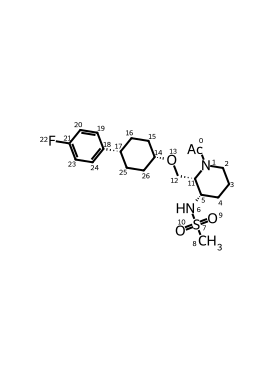 CC(=O)N1CCC[C@H](NS(C)(=O)=O)[C@@H]1CO[C@H]1CC[C@@H](c2ccc(F)cc2)CC1